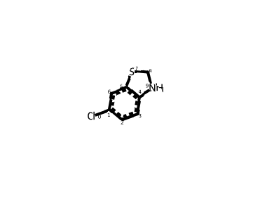 Clc1ccc2c(c1)SCN2